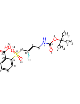 CC(C)(C)OC(=O)NCC=C(F)CS(=O)(=O)c1ccccc1C(=O)O